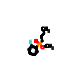 CCCCP(=O)(OC)c1ccccc1F